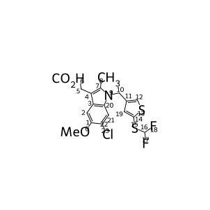 COc1cc2c(CC(=O)O)c(C)n(Cc3csc(SC(F)F)c3)c2cc1Cl